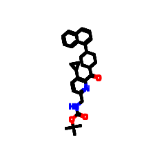 CC(C)(C)OC(=O)NCc1ccc(C2CC2)c(C(=O)C2CCC(c3cccc4ccccc34)CC2)n1